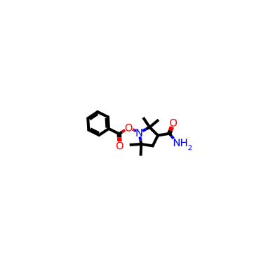 CC1(C)CC(C(N)=O)C(C)(C)N1OC(=O)c1ccccc1